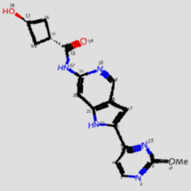 COc1nccc(-c2cc3cnc(NC(=O)[C@H]4C[C@H](O)C4)cc3[nH]2)n1